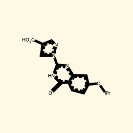 CC(C)Oc1ccc2c(=O)[nH]c(-n3cc(C(=O)O)cn3)nc2c1